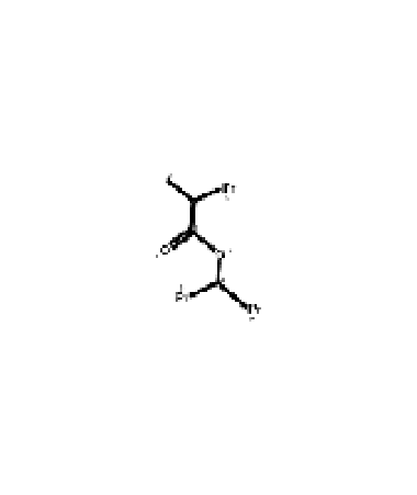 CC(C)C(C)C(=O)OC(C(C)C)C(C)C